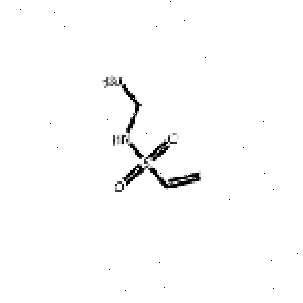 C=CS(=O)(=O)NCC(C)(C)C